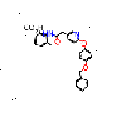 Cc1cccc(C(=O)O)c1NC(=O)Cc1ccc(Oc2ccc(OCc3ccccc3)cc2)nc1